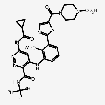 [2H]C([2H])([2H])NC(=O)c1nnc(NC(=O)C2CC2)cc1Nc1cccc(-c2ncc(C(=O)N3CCN(C(=O)O)CC3)s2)c1OC